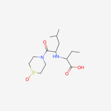 CCC(NC(CC(C)C)C(=O)N1CC[S+]([O-])CC1)C(=O)O